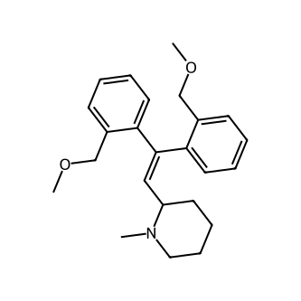 COCc1ccccc1C(=CC1CCCCN1C)c1ccccc1COC